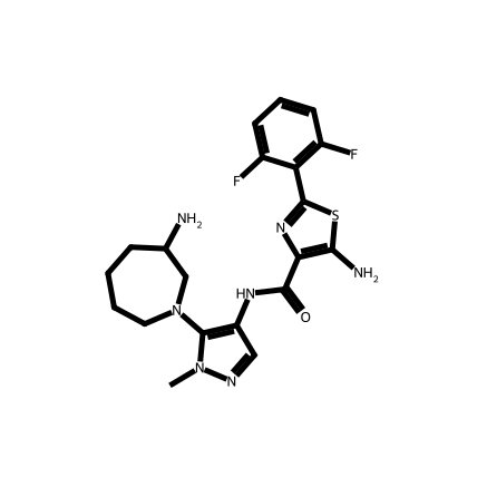 Cn1ncc(NC(=O)c2nc(-c3c(F)cccc3F)sc2N)c1N1CCCCC(N)C1